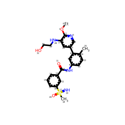 CCOc1ncc(-c2cc(NC(=O)c3cccc(S(C)(=N)=O)c3)ccc2C)cc1NCCO